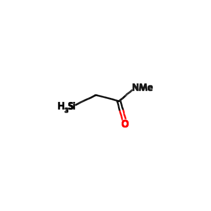 CNC(=O)C[SiH3]